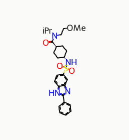 COCCN(C(=O)[C@H]1CC[C@H](NS(=O)(=O)c2ccc3[nH]c(-c4ccccc4)nc3c2)CC1)C(C)C